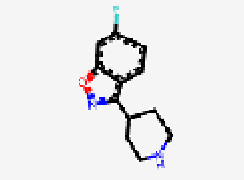 Fc1ccc2c([C]3CCNCC3)noc2c1